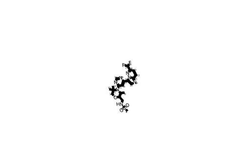 CC1C(CNS(C)(=O)=O)OCC(C)(C)N1c1cc(-c2cnc3ccc(C(F)F)nn23)ncn1